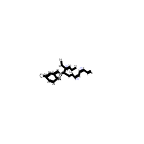 C=C/C=C\C=C/CCC(/C(=C\CC)CC)n1cc2cc(Cl)ccc2n1